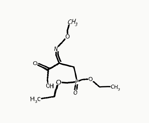 CCOP(=O)(C/C(=N\OC)C(=O)O)OCC